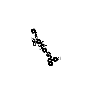 O=C(NS(=O)(=O)c1ccc(NCCSc2ccccc2)c([N+](=O)[O-])c1)c1ccc(N2CCN(Cc3ccc4ccccc4c3-c3ccc(Cl)cc3)CC2)cc1